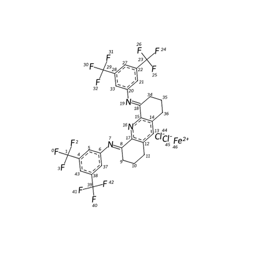 FC(F)(F)c1cc(N=C2CCCc3cc4c(nc32)C(=Nc2cc(C(F)(F)F)cc(C(F)(F)F)c2)CCC4)cc(C(F)(F)F)c1.[Cl-].[Cl-].[Fe+2]